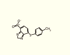 Cc1ccc(Sc2ccc([N+](=O)[O-])c3c2=NCN=3)cc1